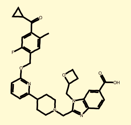 Cc1cc(COc2cccc(C3CCN(Cc4nc5ccc(C(=O)O)cc5n4CC4CCO4)CC3)n2)c(F)cc1C(=O)C1CC1